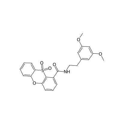 COc1cc(CCNC(=O)c2cccc3c2S(=O)(=O)c2ccccc2O3)cc(OC)c1